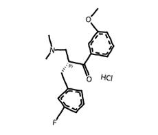 COc1cccc(C(=O)[C@H](Cc2cccc(F)c2)CN(C)C)c1.Cl